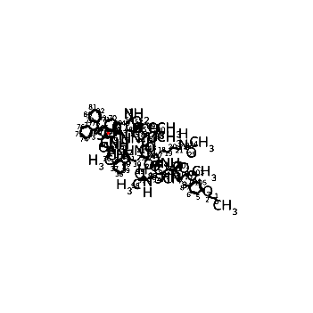 CCCOc1ccc(C[C@H](NC(=O)[C@@H](NC(=O)[C@H](CCCCNC(C)=O)NC(=O)[C@H](Cc2c[nH]c3c(C)cccc23)NC(=O)[C@@H](NC(=O)[C@H](CC(N)=O)NC(=O)[C@@H](NC(C)=O)C(C)(C)SC(c2ccccc2)(c2ccccc2)c2ccccc2)[C@@H](C)OC(C)(C)C)C(C)(C)SCNC(C)=O)C(=O)OC)cc1